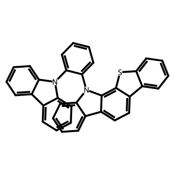 c1ccc(-n2c3ccccc3c3ccc4c5ccccc5sc4c32)c(-n2c3ccccc3c3ccccc32)c1